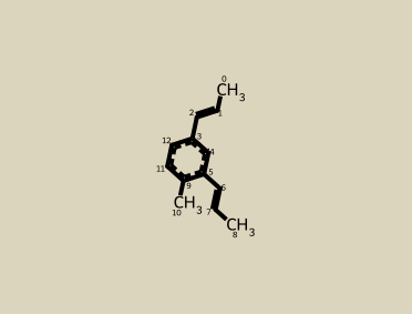 CC=Cc1[c]c(C=CC)c(C)cc1